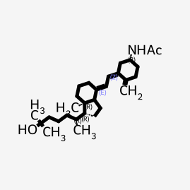 C=C1CC[C@@H](NC(C)=O)C/C1=C/C=C1\CCC[C@@]2(C)C1CC[C@@H]2[C@H](C)CCCC(C)(C)O